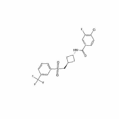 O=C(N[C@H]1C[C@H](CS(=O)(=O)c2cccc(C(F)(F)F)c2)C1)c1ccc(Cl)c(F)c1